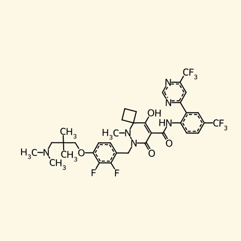 CN(C)CC(C)(C)COc1ccc(CN2C(=O)C(C(=O)Nc3ccc(C(F)(F)F)cc3-c3cc(C(F)(F)F)ncn3)=C(O)C3(CCC3)N2C)c(F)c1F